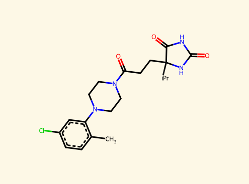 Cc1ccc(Cl)cc1N1CCN(C(=O)CCC2(C(C)C)NC(=O)NC2=O)CC1